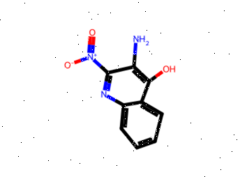 Nc1c([N+](=O)[O-])nc2ccccc2c1O